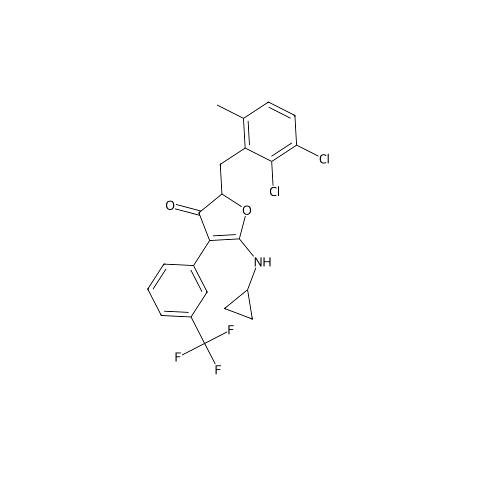 Cc1ccc(Cl)c(Cl)c1CC1OC(NC2CC2)=C(c2cccc(C(F)(F)F)c2)C1=O